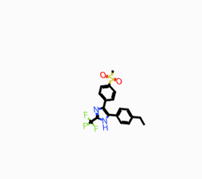 CCc1ccc(-c2[nH]c(C(F)(F)F)nc2-c2ccc(S(C)(=O)=O)cc2)cc1